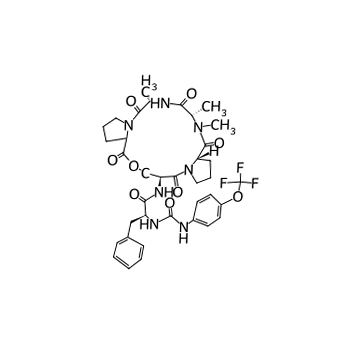 C[C@@H]1NC(=O)[C@H](C)N(C)C(=O)[C@@H]2CCCN2C(=O)[C@@H](NC(=O)[C@H](Cc2ccccc2)NC(=O)Nc2ccc(OC(F)(F)F)cc2)COC(=O)C2CCCN2C1=O